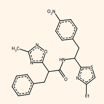 CCc1csc(C(Cc2ccc([N+](=O)[O-])cc2)NC(=O)C(Cc2ccccc2)c2nc(C)no2)n1